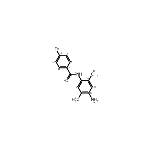 Cc1cc(NC(=O)c2ccc(F)cc2)c(C)cc1N